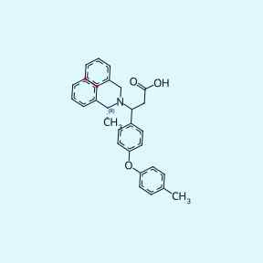 Cc1ccc(Oc2ccc(C(CC(=O)O)N(Cc3ccccc3)[C@H](C)c3ccccc3)cc2)cc1